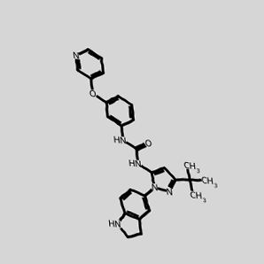 CC(C)(C)c1cc(NC(=O)Nc2cccc(Oc3cccnc3)c2)n(-c2ccc3c(c2)CCN3)n1